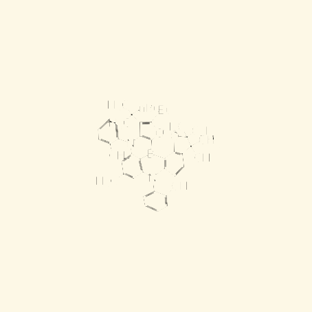 CCCCC(C)(C)c1c(CC)oc2c1N(c1ccccc1C)c1cc(C)cc3c1B2c1c(ccc2c1OC(C)(C)C2(C)C)N3c1ccccc1C